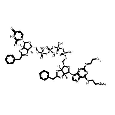 CSCCNc1nc(SCCC(F)(F)F)nc2c1ncn2[C@@H]1O[C@H](COP(=O)(O)OP(=O)(O)OP(=O)(O)OP(=O)(O)OC[C@H]2O[C@@H](n3ccc(=O)[nH]c3=O)[C@@H]3OC(Cc4ccccc4)O[C@@H]32)[C@H]2OC(Cc3ccccc3)O[C@H]21